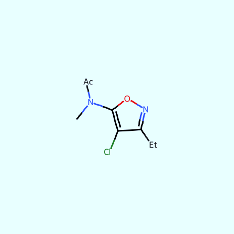 CCc1noc(N(C)C(C)=O)c1Cl